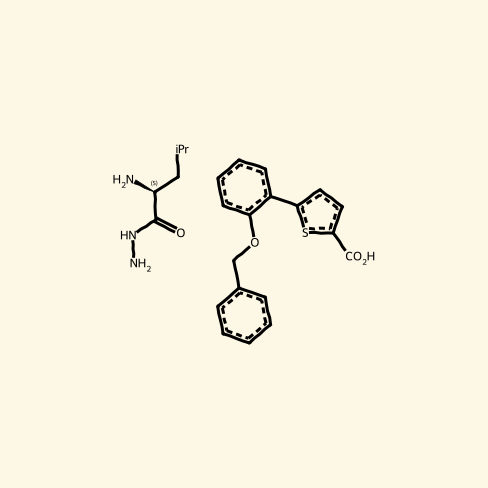 CC(C)C[C@H](N)C(=O)NN.O=C(O)c1ccc(-c2ccccc2OCc2ccccc2)s1